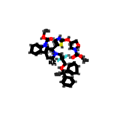 C[C@@H]1Cc2c(n(C(=O)OC(C)(C)C)c3ccccc23)[C@@H](c2cnc(O[C@@H]3CON(C(=O)OC(C)(C)C)C3)s2)N1CC(F)(F)CO[Si](c1ccccc1)(c1ccccc1)C(C)(C)C